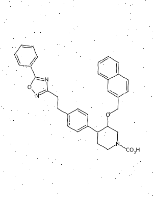 O=C(O)N1CCC(c2ccc(CCc3noc(-c4ccccc4)n3)cc2)C(OCc2ccc3ccccc3c2)C1